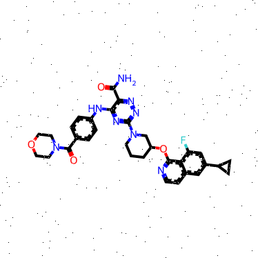 NC(=O)c1nnc(N2CCCC(Oc3nccc4cc(C5CC5)cc(F)c34)C2)nc1Nc1ccc(C(=O)N2CCOCC2)cc1